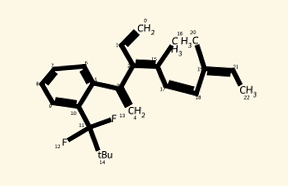 C=C/C(C(=C)c1ccccc1C(F)(F)C(C)(C)C)=C(C)/C=C\C(C)=C/C